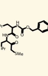 CSCC(=O)C(CC(C)C)NC(=O)C(CC(C)C)NC(=O)OCc1ccccc1